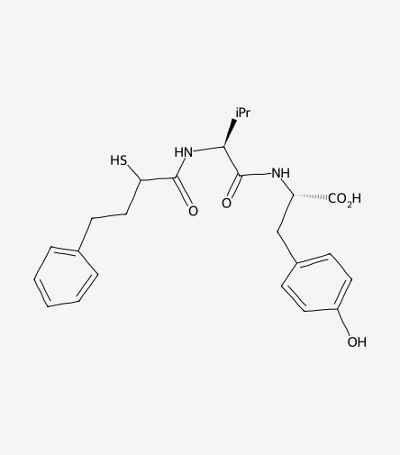 CC(C)[C@H](NC(=O)C(S)CCc1ccccc1)C(=O)N[C@@H](Cc1ccc(O)cc1)C(=O)O